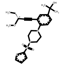 CC[C@H](C#Cc1cc(C(C)(C)O)ccc1N1CCN(S(=O)(=O)c2cccs2)CC1)OC